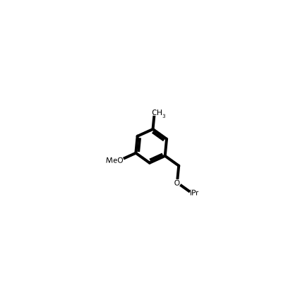 COc1cc(C)cc(COC(C)C)c1